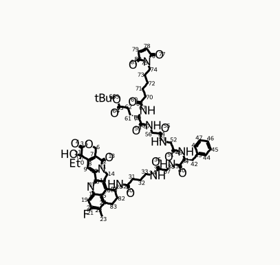 CC[C@@]1(O)C(=O)OCc2c1cc1n(c2=O)Cc2c-1nc1cc(F)c(C)c3c1c2[C@@H](NC(=O)CCCNC(=O)CNC(=O)[C@H](Cc1ccccc1)NC(=O)CNC(=O)CNC(=O)[C@H](CCC(=O)OC(C)(C)C)NC(=O)CCCCCN1C(=O)C=CC1=O)CC3